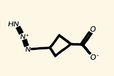 N=[N+]=NC1CC(C(=O)[O-])C1